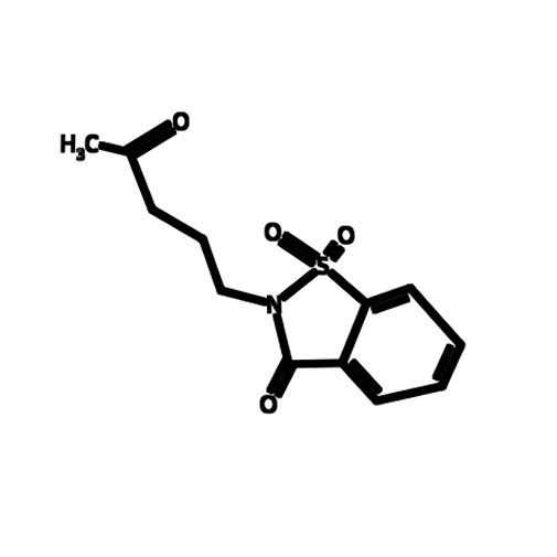 CC(=O)CCCN1C(=O)c2ccccc2S1(=O)=O